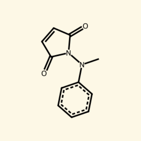 CN(c1ccccc1)N1C(=O)C=CC1=O